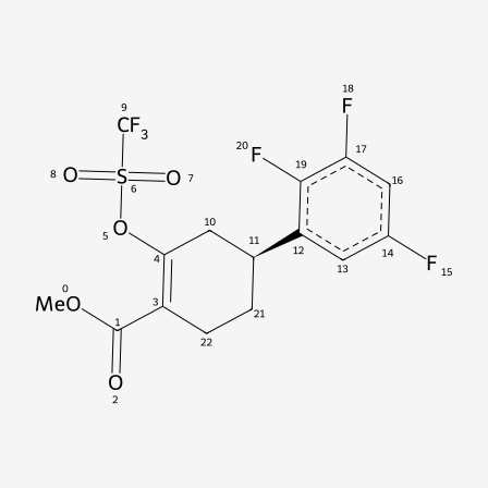 COC(=O)C1=C(OS(=O)(=O)C(F)(F)F)C[C@@H](c2cc(F)cc(F)c2F)CC1